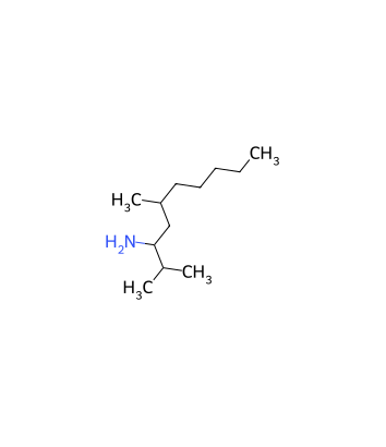 CCCCCC(C)CC(N)C(C)C